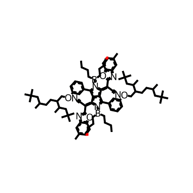 CCCCB(CCCC)n1c(-c2cccc(OCC(CCC(C)CC(C)(C)C)C(C)CC(C)(C)C)c2)c2/c(=C(\C#N)c3nc4cc(C)ccc4o3)n(B(CCCC)CCCC)c(-c3cccc(OCC(CCC(C)CC(C)(C)C)C(C)CC(C)(C)C)c3)c2/c1=C(\C#N)c1nc2cc(C)ccc2o1